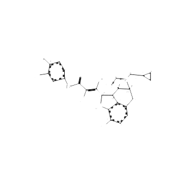 C/C(C(=O)Nc1ccc(Cl)c(C)c1)=C(/O)[C@@H]1Oc2c(O)ccc3c2[C@@]12CCN(CC1CC1)[C@H](C3)[C@@]2(C)O